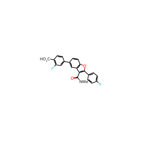 CNC(=O)c1c(-c2ccc(F)cc2)oc2ccc(-c3ccc(C(=O)O)c(F)c3)cc12